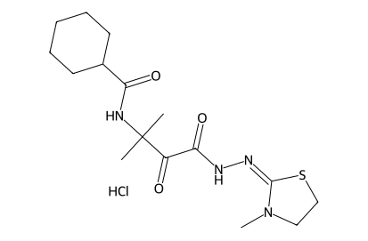 CN1CCSC1=NNC(=O)C(=O)C(C)(C)NC(=O)C1CCCCC1.Cl